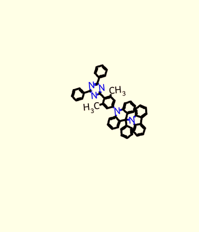 Cc1cc(N2c3ccccc3C(c3ccccc3)(n3c4ccccc4c4ccccc43)c3ccccc32)cc(C)c1-c1nc(-c2ccccc2)nc(-c2ccccc2)n1